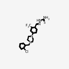 NC(=S)NN=Cc1ccc(N2CCN(Cc3ccccc3Cl)CC2)cc1C(F)(F)F